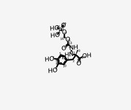 C[C@@](Cc1ccc(O)c(O)c1)(NNC(=O)OCOP(=O)(O)O)C(=O)O